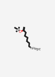 C=C(CCCCCCCCCCCCC)O[Si](C)(C)C